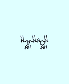 CNCCN(CCNC)CCNCN(C)C1CC(NC)CC(NC)C1